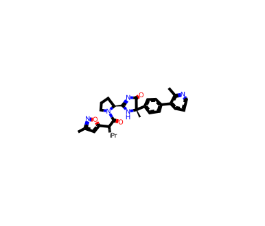 Cc1cc(C(C(=O)N2CCC[C@H]2C2=NC(=O)[C@](C)(c3ccc(-c4cccnc4C)cc3)N2)C(C)C)on1